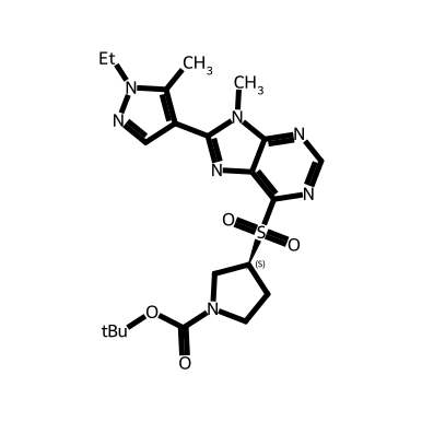 CCn1ncc(-c2nc3c(S(=O)(=O)[C@H]4CCN(C(=O)OC(C)(C)C)C4)ncnc3n2C)c1C